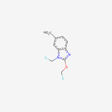 O=C(O)c1ccc2nc(OCF)n(CF)c2c1